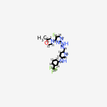 CC1CN(c2nc(N/N=C/c3ccc(Nc4cccc(C(F)(F)F)c4)cn3)ncc2F)CCO1